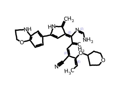 C=C(/C=C(C#N)\C(=C/C)OC1CCOCC1)C(/N=C\N)=c1\cc(-c2ccc3c(c2)NCCO3)[nH]c1=C